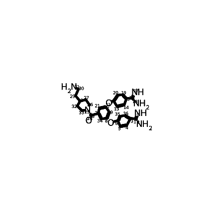 N=C(N)c1ccc(Oc2cc(Oc3ccc(C(=N)N)cc3)cc(C(=O)N3CCC(CCN)CC3)c2)cc1